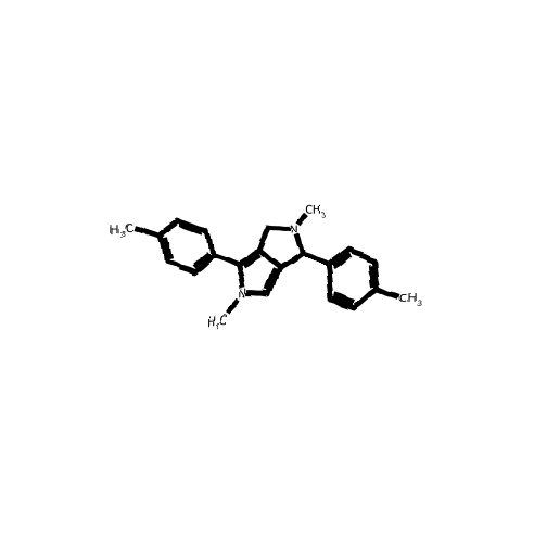 Cc1ccc(-c2c3c(cn2C)C(c2ccc(C)cc2)N(C)C3)cc1